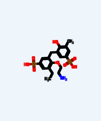 CCc1cc(S(=O)(=O)O)cc(Cc2cc(S(=O)(=O)O)cc(C)c2O)c1OCCN